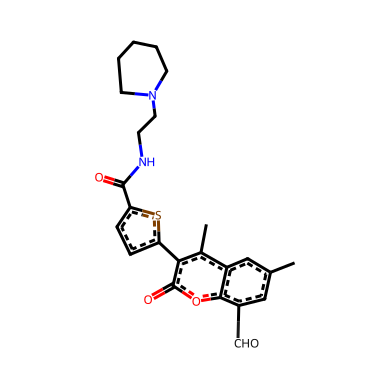 Cc1cc(C=O)c2oc(=O)c(-c3ccc(C(=O)NCCN4CCCCC4)s3)c(C)c2c1